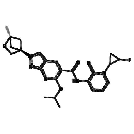 CC(C)Oc1nc2nn([C@]34CO[C@@](C)(C3)C4)cc2cc1C(=O)Nc1cccn(C2CC2F)c1=O